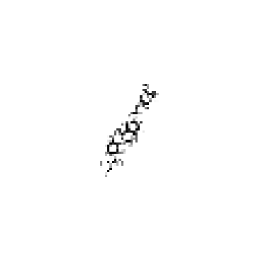 CCNC(=O)c1ccc(C)c(-n2cnc3ccc(OCCN4CCNC(=O)C4)cc3c2=O)c1